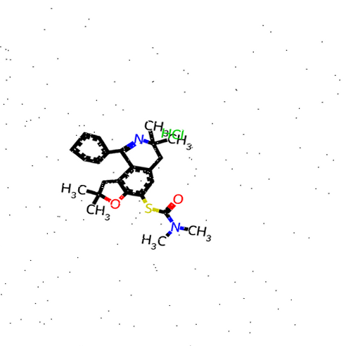 CN(C)C(=O)Sc1cc2c(c3c1OC(C)(C)C3)C(c1ccccc1)=NC(C)(C)C2.Cl